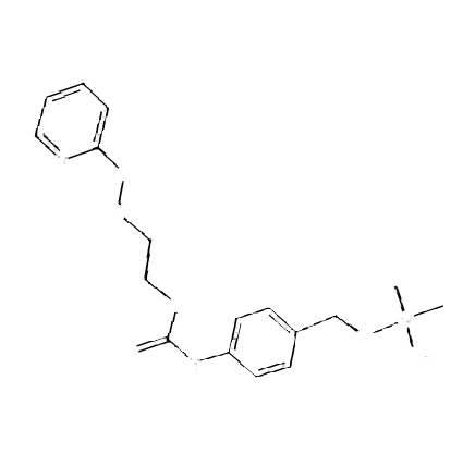 CC(C)(C)[Si](C)(C)OCc1ccc(NC(=O)OCCSSc2ccccn2)cc1